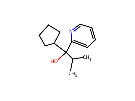 CC(C)C(O)(c1ccccn1)C1CCCC1